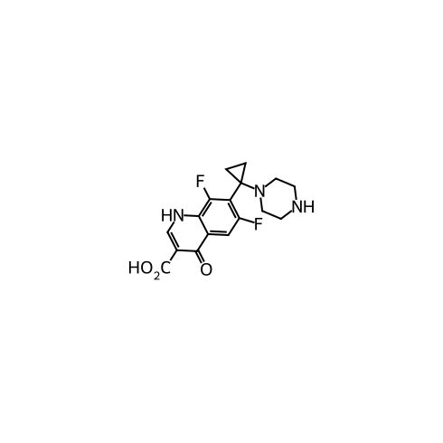 O=C(O)c1c[nH]c2c(F)c(C3(N4CCNCC4)CC3)c(F)cc2c1=O